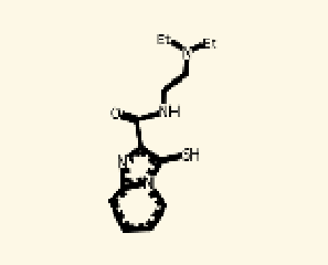 CCN(CC)CCNC(=O)c1nc2ccccn2c1S